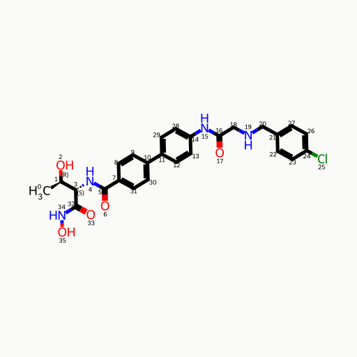 C[C@@H](O)[C@H](NC(=O)c1ccc(-c2ccc(NC(=O)CNCc3ccc(Cl)cc3)cc2)cc1)C(=O)NO